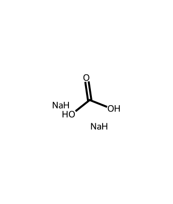 O=C(O)O.[NaH].[NaH]